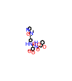 CCN(CCc1ccc(NC(=O)c2cc(OC)c(OC)cc2NC(=O)c2cc(=O)c3ccccc3o2)cc1)C(=O)c1ccccn1